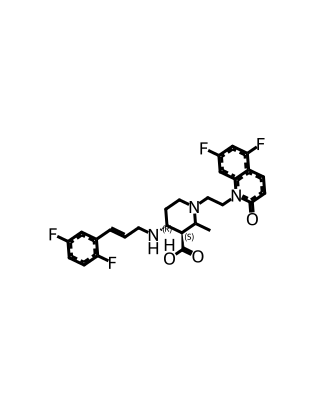 CC1[C@@H](C(=O)O)[C@H](NCC=Cc2cc(F)ccc2F)CCN1CCn1c(=O)ccc2c(F)cc(F)cc21